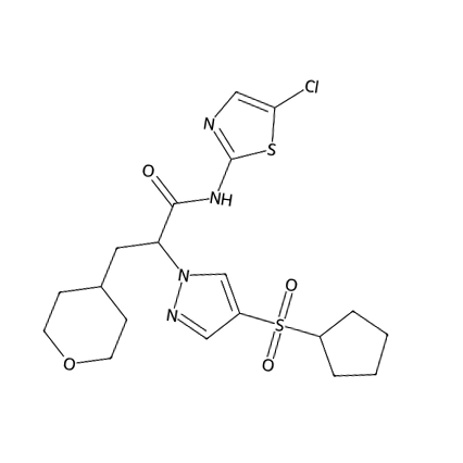 O=C(Nc1ncc(Cl)s1)C(CC1CCOCC1)n1cc(S(=O)(=O)C2CCCC2)cn1